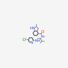 CC1Cc2c(cccc2C(=O)N(C)C(CNc2ccc(Cl)cn2)C(C)C)N1